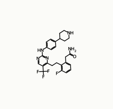 NC(=O)Cc1cccc(F)c1CCc1nc(Nc2ccc(C3CCNCC3)cc2)ncc1C(F)(F)F